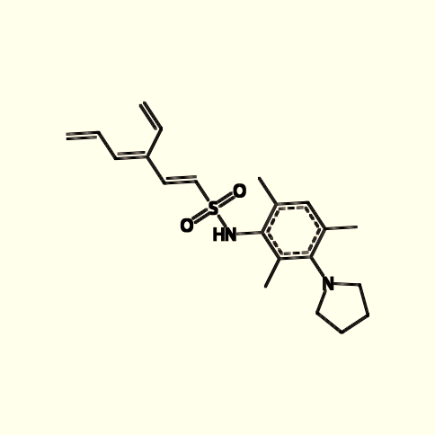 C=C/C=C(C=C)/C=C/S(=O)(=O)Nc1c(C)cc(C)c(N2CCCC2)c1C